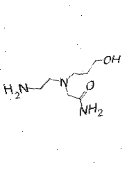 NCCN(CCCO)CC(N)=O